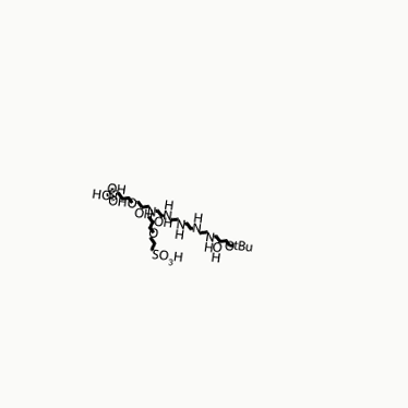 CC(C)(C)OCC(O)CNCCNCCNCCNCCN(CC(O)COCCC[Si](O)(O)O)CC(O)COCCCS(=O)(=O)O